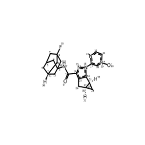 O=C(NC12CC3C[C@H](CC(F)(C3)C1)C2)c1nn(-c2c[n+]([O-])ccn2)c2c1C[C@@H]1C[C@H]21